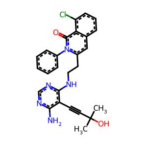 CC(C)(O)C#Cc1c(N)ncnc1NCCc1cc2cccc(Cl)c2c(=O)n1-c1ccccc1